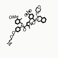 COc1cccc(CN(C(=O)c2cc(-c3cc(S(C)(=O)=O)ccc3C(=O)N3Cc4ccccc4C[C@H]3CN3CCOCC3)n(C)c2C)c2ccc(OCOCC[Si](C)(C)C)cc2)c1C